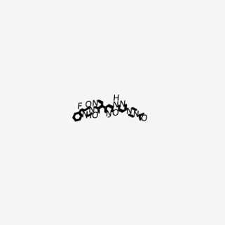 Cn1cc(-c2ccnc(N3CCn4c5c(c(F)c4C3=O)CCCC5)c2CO)cc(Nc2ccc(N3CCN(C4COC4)CC3)cn2)c1=O